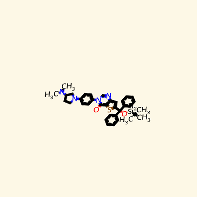 CN(C)C1CCN(c2ccc(-n3cnc4cc(C(O[SiH2]C(C)(C)C)(c5ccccc5)c5ccccc5)sc4c3=O)cc2)C1